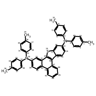 Cc1ccc(N(c2ccc(C)cc2)c2ccc3c(c2)sc2c4cc(N(c5ccc(C)cc5)c5ccc(C)cc5)ccc4c4ccccc4c32)cc1